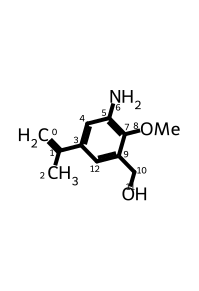 C=C(C)c1cc(N)c(OC)c(CO)c1